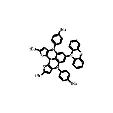 CC(C)(C)c1ccc(N2c3cc(C(C)(C)C)sc3B3c4sc(C(C)(C)C)cc4N(c4ccc(C(C)(C)C)cc4)c4cc(N5c6ccccc6Sc6ccccc65)cc2c43)cc1